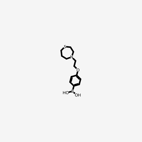 OB(O)c1ccc(OCCN2CCCSCC2)cc1